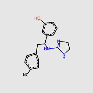 N#Cc1ccc(CC(NC2=NCCN2)c2cccc(O)c2)cc1